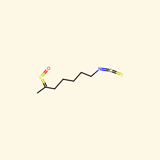 CC(CCCCCN=C=S)=S=O